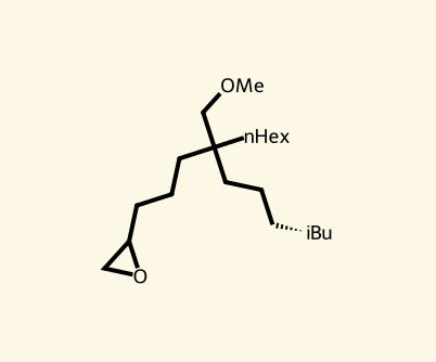 CCCCCCC(CCCC1CO1)(CCC[C@@H](C)CC)COC